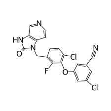 N#Cc1cc(Cl)cc(Oc2c(Cl)ccc(Cn3c(=O)[nH]c4cnccc43)c2F)c1